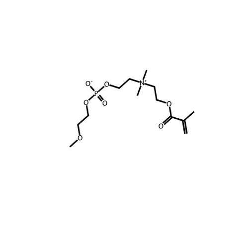 C=C(C)C(=O)OCC[N+](C)(C)CCOP(=O)([O-])OCCOC